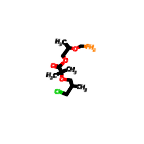 CC(CCl)COC(C)(C)C(=O)OCC(C)OCP